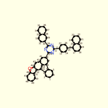 c1ccc2c(c1)-c1cc(-c3nc(-c4ccc(-c5cccc6ccccc56)cc4)nc(-c4ccc5ccccc5c4)n3)cc3cc4oc5ccccc5c4c-2c13